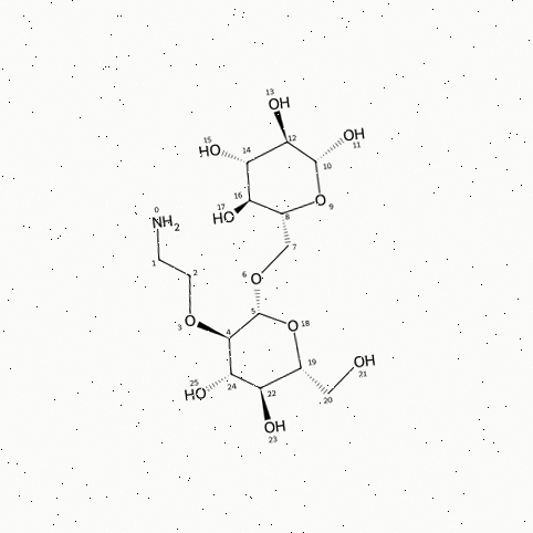 NCCO[C@H]1[C@H](OC[C@H]2O[C@@H](O)[C@H](O)[C@@H](O)[C@@H]2O)O[C@H](CO)[C@@H](O)[C@@H]1O